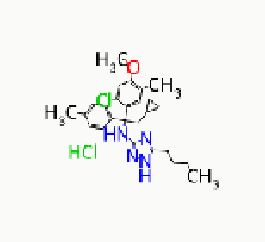 CCCCc1nc(NC(CC2CC2)(c2ccc(C)cc2)c2cc(C)c(OC)cc2Cl)n[nH]1.Cl